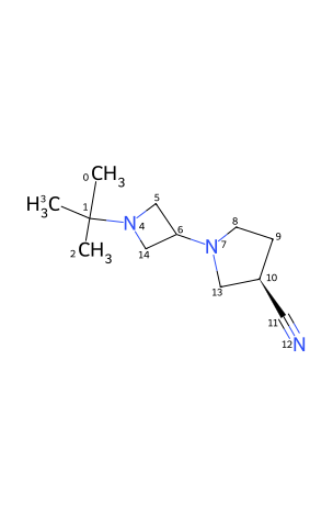 CC(C)(C)N1CC(N2CC[C@@H](C#N)C2)C1